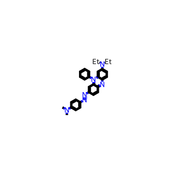 CCN(CC)c1ccc2nc3ccc(/N=N/c4ccc(N(C)C)cc4)cc3[n+](-c3ccccc3)c2c1